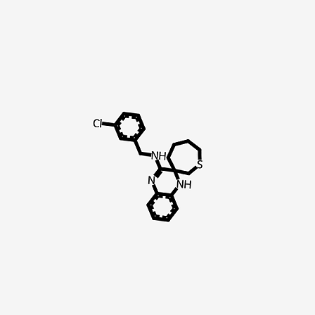 Clc1cccc(CNC2=Nc3ccccc3NC23CCCCSC3)c1